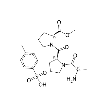 COC(=O)[C@@H]1CCCN1C(=O)[C@@H]1CCCN1C(=O)[C@H](C)N.Cc1ccc(S(=O)(=O)O)cc1